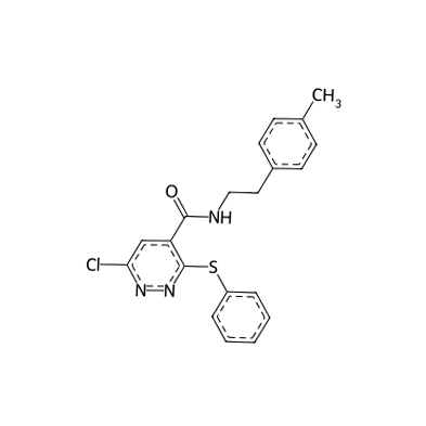 Cc1ccc(CCNC(=O)c2cc(Cl)nnc2Sc2ccccc2)cc1